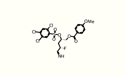 COc1ccc(C(=O)OC[C@H](C[C@H](F)C=N)OS(=O)(=O)c2cc(Cl)c(Cl)cc2Cl)cc1